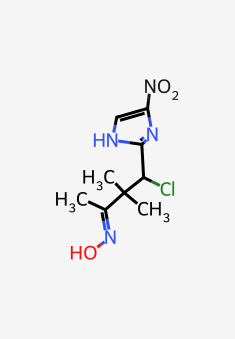 CC(=NO)C(C)(C)C(Cl)c1nc([N+](=O)[O-])c[nH]1